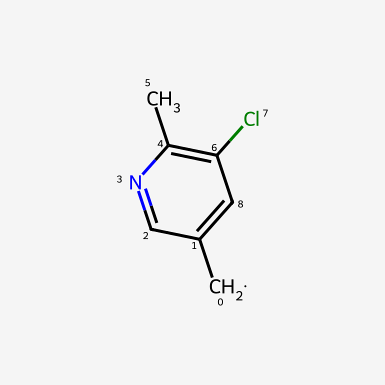 [CH2]c1cnc(C)c(Cl)c1